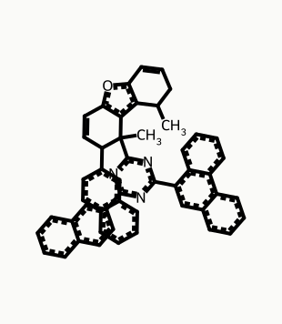 CC1CC=Cc2oc3c(c21)C(C)(c1nc(-c2ccc4ccccc4c2)nc(-c2cc4ccccc4c4ccccc24)n1)C(c1ccc2ccccc2c1)C=C3